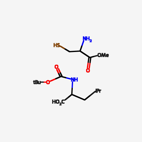 CC(C)CC(NC(=O)OC(C)(C)C)C(=O)O.COC(=O)C(N)CS